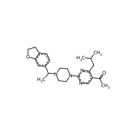 CC(=O)c1cnc(N2CCN(C(C)c3ccc4c(c3)OCC4)CC2)nc1CC(C)C